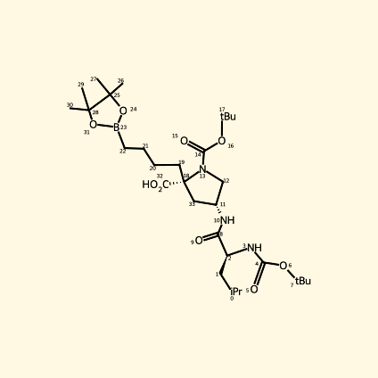 CC(C)C[C@H](NC(=O)OC(C)(C)C)C(=O)N[C@H]1CN(C(=O)OC(C)(C)C)[C@@](CCCCB2OC(C)(C)C(C)(C)O2)(C(=O)O)C1